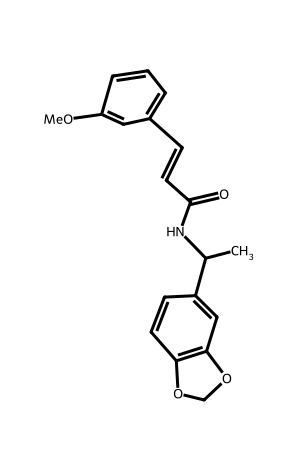 COc1cccc(C=CC(=O)NC(C)c2ccc3c(c2)OCO3)c1